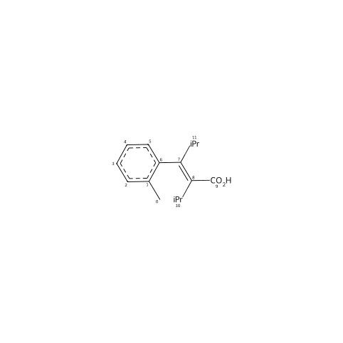 Cc1ccccc1C(=C(C(=O)O)C(C)C)C(C)C